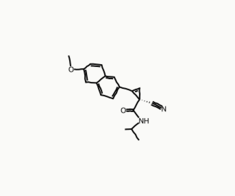 COc1ccc2cc(C3=C[C@@]3(C#N)C(=O)NC(C)C)ccc2c1